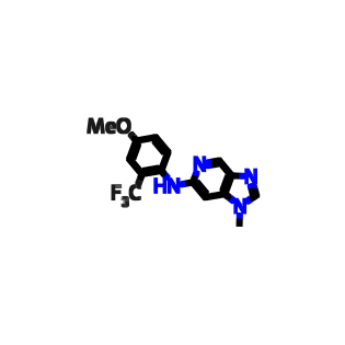 COc1ccc(Nc2cc3c(cn2)ncn3C)c(C(F)(F)F)c1